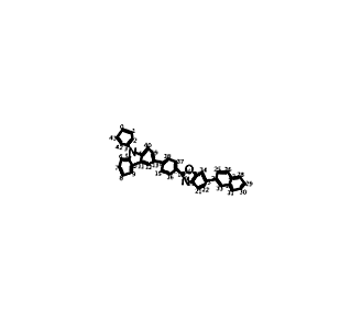 c1ccc(-n2c3ccccc3c3cc(-c4ccc(-c5nc6ccc(-c7ccc8ccccc8c7)cc6o5)cc4)ccc32)cc1